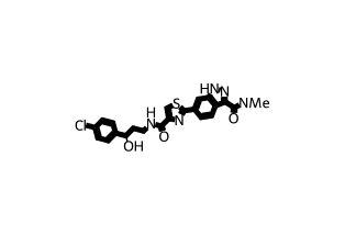 CNC(=O)c1n[nH]c2cc(-c3nc(C(=O)NCC[C@H](O)c4ccc(Cl)cc4)cs3)ccc12